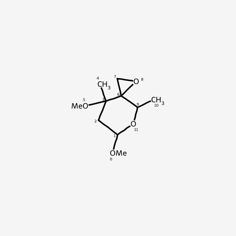 COC1CC(C)(OC)C2(CO2)C(C)O1